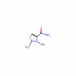 CCCCN1C(C(N)=O)=CSC1C